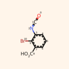 O=C=Nc1cccc(C(=O)O)c1Br